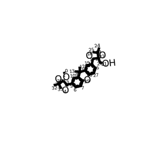 COC1(C(=O)c2ccc3c(c2)C(C)(C)c2cc(C(=O)C4(CO)OC4(C)C)ccc2O3)OC1(C)C